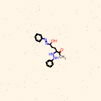 CC(=O)C(CCC(O)N=Nc1ccccc1)NNc1ccccc1